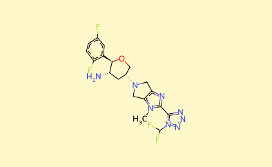 Cn1c(-c2nnnn2C(F)F)nc2c1CN([C@H]1CO[C@H](c3cc(F)ccc3F)[C@@H](N)C1)C2